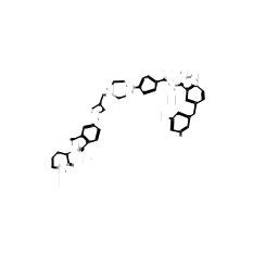 O=C1CCC(N2C(=O)c3ccc(N4CC(CN5CCN(c6ccc(C(=O)Nc7n[nH]c8ccc(Cc9cc(F)cc(F)c9)cc78)cc6)CC5)C4)cc3C2=O)C(=O)N1